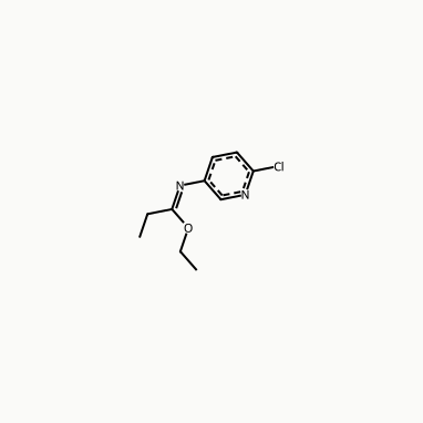 CCO/C(CC)=N\c1ccc(Cl)nc1